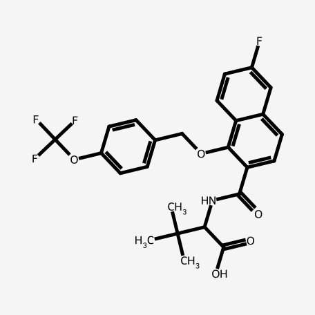 CC(C)(C)C(NC(=O)c1ccc2cc(F)ccc2c1OCc1ccc(OC(F)(F)F)cc1)C(=O)O